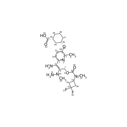 Cc1nc(/C(N)=C(\COC(=O)N(C)C2CC(F)(F)C2)N(C)N)ccc1O[C@H]1CCC[C@@H](C(=O)O)C1